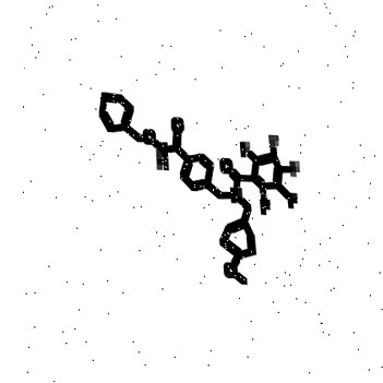 COc1ccc(CN(Cc2ccc(C(=O)NOCc3ccccc3)cc2)C(=O)c2c(F)c(F)c(F)c(F)c2F)cc1